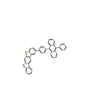 c1ccc(-c2c3ccccc3c(-c3ccc(-c4ccc5sc6cc7sc8ccccc8c7cc6c5c4)cc3)c3ccccc23)cc1